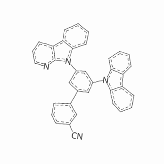 N#Cc1cccc(-c2cc(-n3c4ccccc4c4ccccc43)cc(-n3c4ccccc4c4cccnc43)c2)c1